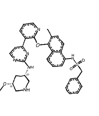 CO[C@H]1CNC[C@@H](Nc2nccc(-c3cccnc3Oc3c(C)ccc4c(NS(=O)(=O)Cc5ccccc5)cccc34)n2)C1